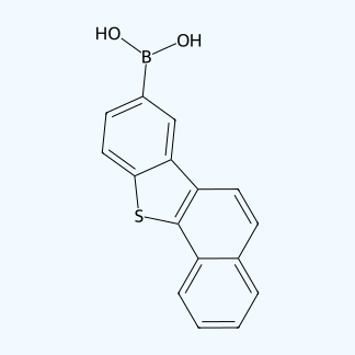 OB(O)c1ccc2sc3c4ccccc4ccc3c2c1